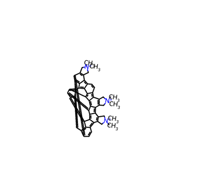 C[N+]1(C)Cc2c(c3c4ccc5c6c7c(c8c9c%10c(c%11c%12ccc%13c2c2c3c3c4c5c4c6c8c5c9c%11c6c%12c%13c2c2c3c4c5c62)C[N+](C)(C)C%10)C[N+](C)(C)C7)C1